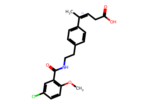 COc1ccc(Cl)cc1C(=O)NCCc1ccc(/C(C)=C\CC(=O)O)cc1